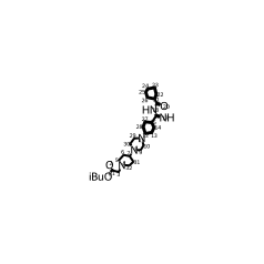 CC(C)COC(=O)CN1CCC(N2CCN(c3ccc(C(=N)NC(=O)c4ccccc4)cc3)CC2)CC1